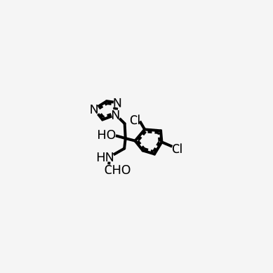 O=CNCC(O)(Cn1cncn1)c1ccc(Cl)cc1Cl